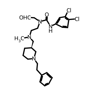 CN(CCN(CC=O)C(=O)Nc1ccc(Cl)c(Cl)c1)C[C@@H]1CCCN(CCc2ccccc2)C1